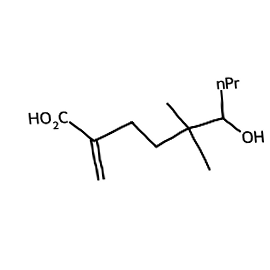 C=C(CCC(C)(C)C(O)CCC)C(=O)O